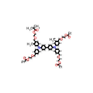 C=C(C)C(=O)OCCOCc1ccc(N(c2ccc(COCCOC(=O)C(C)C)cc2)c2ccc(-c3ccc(N(c4ccc(COCCOC(=O)CC)cc4)c4ccc(COCCOC(=O)CC)c(C)c4)cc3)cc2)cc1C